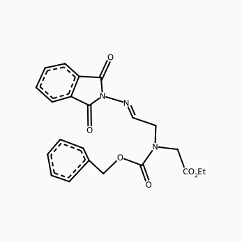 CCOC(=O)CN(CC=NN1C(=O)c2ccccc2C1=O)C(=O)OCc1ccccc1